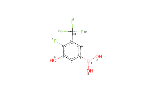 OB(O)c1cc(O)c(F)c(C(F)(F)F)c1